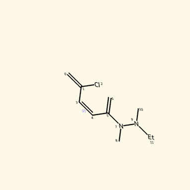 C=C(Cl)/C=C\C(=C)N(C)N(C)CC